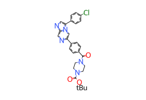 CC(C)(C)OC(=O)N1CCN(C(=O)c2ccc(-c3cn4c(-c5ccc(Cl)cc5)cnc4cn3)cc2)CC1